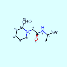 CC(C)C(C)NC(=O)CN1CCCCC1C=O